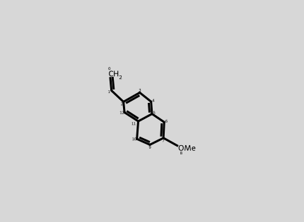 C=Cc1ccc2cc(OC)ccc2c1